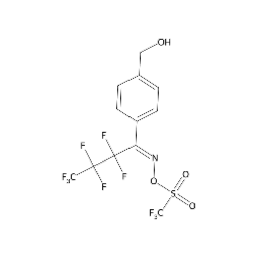 O=S(=O)(ON=C(c1ccc(CO)cc1)C(F)(F)C(F)(F)C(F)(F)F)C(F)(F)F